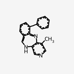 Cc1cncc2c1N=c1c(-c3ccccc3)cccc1=CN2